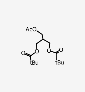 CC(=O)OCC(COC(=O)C(C)(C)C)COC(=O)C(C)(C)C